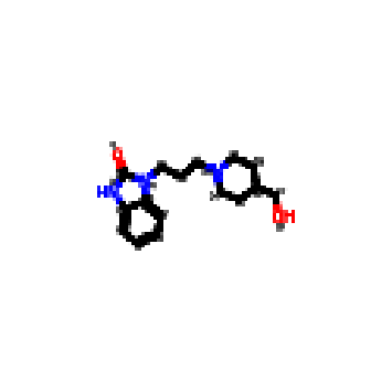 O=c1[nH]c2ccccc2n1CCCN1CCC(CO)CC1